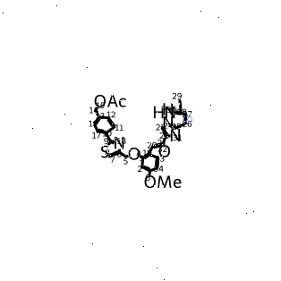 COc1cc(OCc2csc(-c3ccc(COC(C)=O)cc3)n2)c2cc(-c3c[nH]c(/C=C\C(C)=N)n3)oc2c1